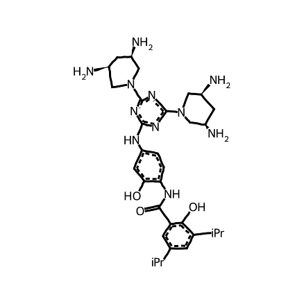 CC(C)c1cc(C(=O)Nc2ccc(Nc3nc(N4C[C@H](N)C[C@H](N)C4)nc(N4C[C@H](N)C[C@H](N)C4)n3)cc2O)c(O)c(C(C)C)c1